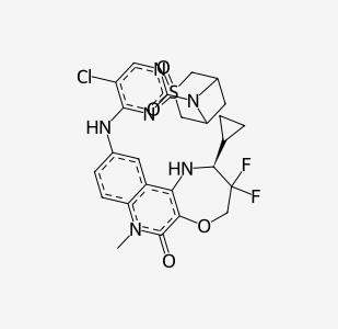 Cn1c(=O)c2c(c3cc(Nc4nc(N5C6CC5CS(=O)(=O)C6)ncc4Cl)ccc31)N[C@@H](C1CC1)C(F)(F)CO2